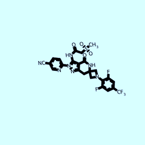 CS(=O)(=O)CC(=O)Nc1c2c(nn1-c1ccc(C#N)cn1)CC1(CN(c3c(F)cc(C(F)(F)F)cc3F)C1)NC2=O